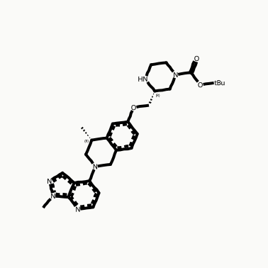 C[C@H]1CN(c2ccnc3c2cnn3C)Cc2ccc(OC[C@H]3CN(C(=O)OC(C)(C)C)CCN3)cc21